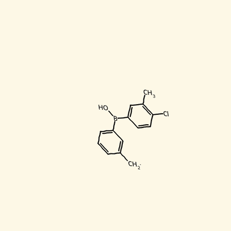 [CH2]c1cccc(B(O)c2ccc(Cl)c(C)c2)c1